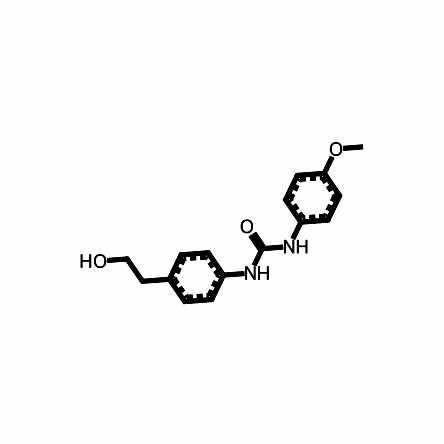 COc1ccc(NC(=O)Nc2ccc(CCO)cc2)cc1